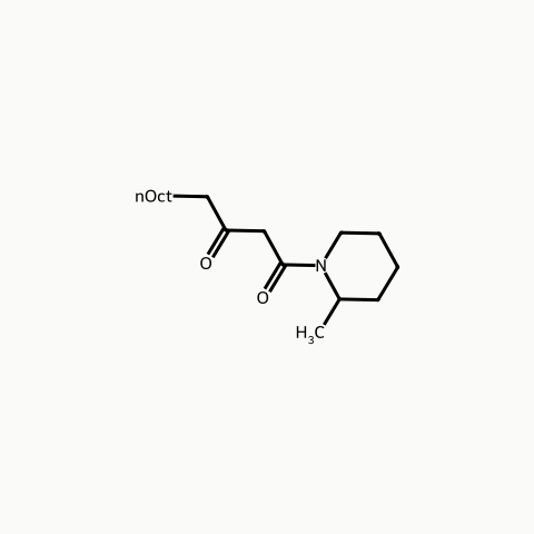 CCCCCCCCCC(=O)CC(=O)N1CCCCC1C